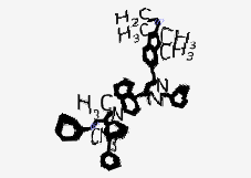 C=C/C=C\C1=C(C)c2ccc(-c3cc(C4=c5ccccc5=C(n5c(C)c(/C=C(\C)c6ccccc6)c6cc(-c7ccccc7)ccc65)CC4)nc(-c4ccccc4)n3)cc2C1(C)C